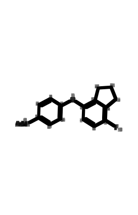 CC(=O)Nc1ccc(Oc2ccc(F)c3c2CCC3)cc1